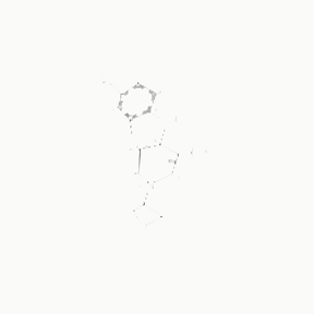 CC(C)(C)c1ccc(OC2CCN(C3COC3)C[C@H]2F)c(C(F)(F)F)c1